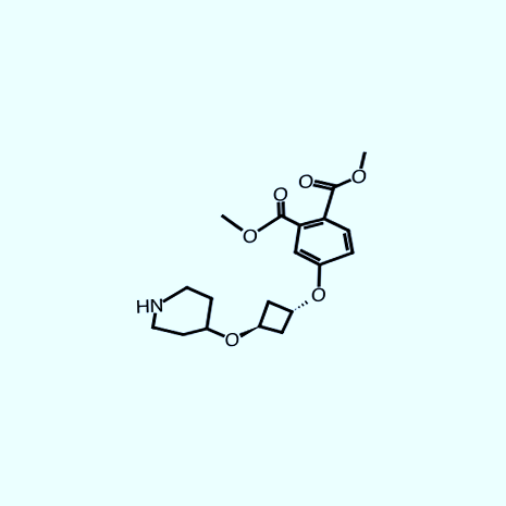 COC(=O)c1ccc(O[C@H]2C[C@H](OC3CCNCC3)C2)cc1C(=O)OC